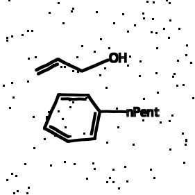 C=CCO.CCCCCc1ccccc1